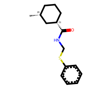 C[C@@H]1CCC[C@H](C(=O)NCSc2ccccc2)C1